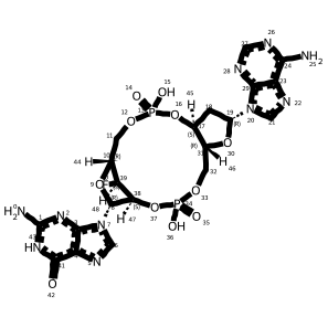 Nc1nc2c(ncn2[C@@H]2O[C@@H]3COP(=O)(O)O[C@H]4C[C@H](n5cnc6c(N)ncnc65)O[C@@H]4COP(=O)(O)O[C@@H]2[C@H]3F)c(=O)[nH]1